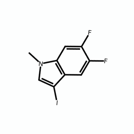 Cn1cc(I)c2cc(F)c(F)cc21